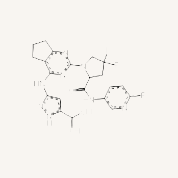 CC(C)c1cc(Nc2nc(N3CC(F)(F)CC3C(=O)Nc3ccc(F)nc3)nc3c2CCC3)n[nH]1